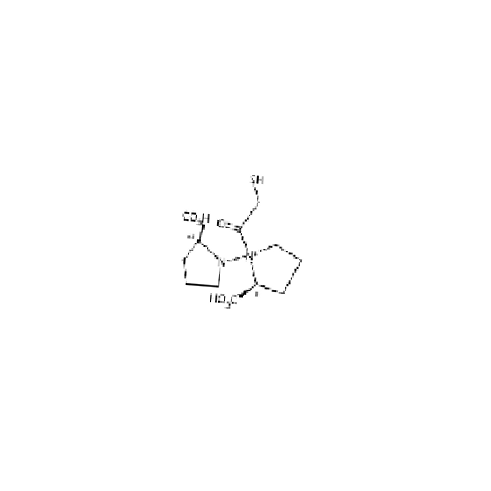 O=C(O)[C@@H]1CCCN1[N+]1(C(=O)CS)CCC[C@H]1C(=O)O